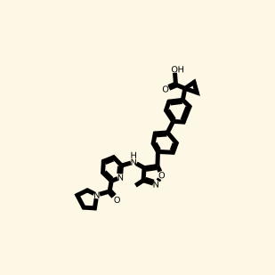 Cc1noc(-c2ccc(-c3ccc(C4(C(=O)O)CC4)cc3)cc2)c1Nc1cccc(C(=O)N2CCCC2)n1